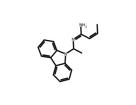 C/C=C\C(N)=N/C(C)n1c2ccccc2c2ccccc21